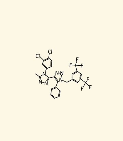 Cc1nnc(-c2nnn(Cc3cc(C(F)(F)F)cc(C(F)(F)F)c3)c2-c2ccccc2)n1-c1ccc(Cl)c(Cl)c1